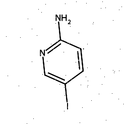 Nc1[c]cc(I)cn1